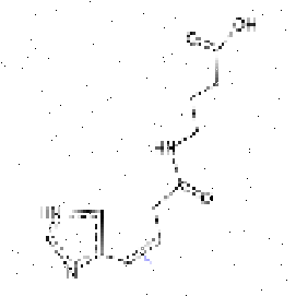 O=C(O)CCCNC(=O)C/C=C\c1c[nH]cn1